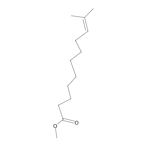 COC(=O)CCCCCCCC=C(C)C